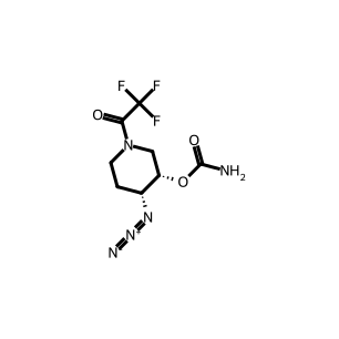 [N-]=[N+]=N[C@@H]1CCN(C(=O)C(F)(F)F)C[C@@H]1OC(N)=O